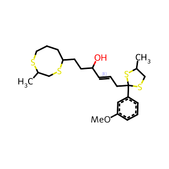 COc1cccc(C2(C/C=C/C(O)CCC3CCCSC(C)CS3)SCC(C)S2)c1